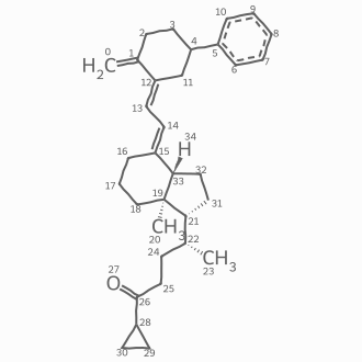 C=C1CCC(c2ccccc2)CC1=CC=C1CCC[C@]2(C)[C@@H]([C@H](C)CCC(=O)C3CC3)CC[C@@H]12